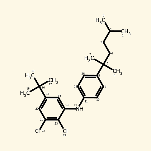 CC(C)CCC(C)(C)c1ccc(Nc2cc(C(C)(C)C)cc(Cl)c2Cl)cc1